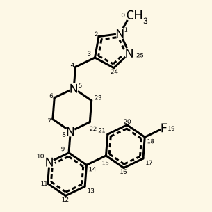 Cn1cc(CN2CCN(c3ncccc3-c3ccc(F)cc3)CC2)cn1